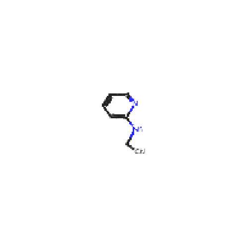 N#CCNc1ccccn1